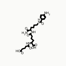 NC(=O)C(CCCCNC(=O)c1ccc(N)cc1)NC(=O)CCCC(NC(=O)CCCC(=O)O)C(=O)O